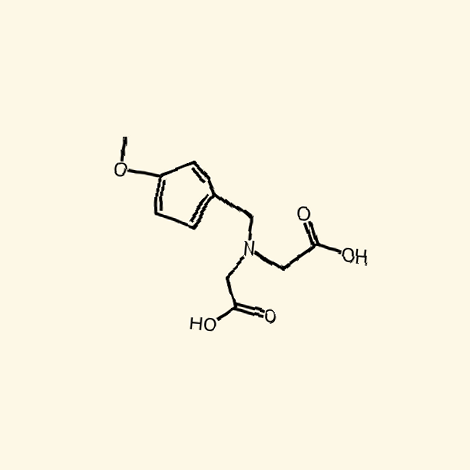 COc1ccc(CN(CC(=O)O)CC(=O)O)cc1